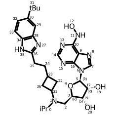 CC(C)N(C[C@H]1O[C@@H](n2cnc3c(NO)ncnc32)[C@H](O)[C@@H]1O)C1CC(CCc2nc3cc(C(C)(C)C)ccc3[nH]2)C1